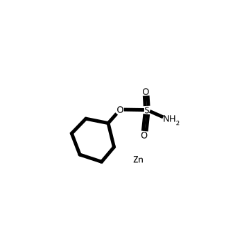 NS(=O)(=O)OC1CCCCC1.[Zn]